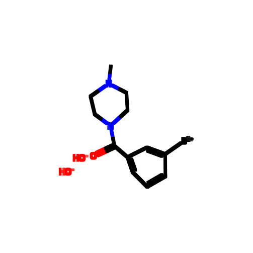 [B+2]c1cccc(C(=O)N2CCN(C)CC2)c1.[OH-].[OH-]